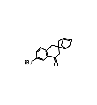 CCC(C)c1ccc2c(c1)C(=O)CC1(CC3=CCC1C3)C2